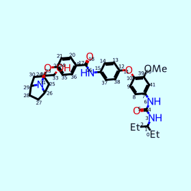 CCC(CC)NC(=O)Nc1ccc(Oc2ccc(NC(=O)c3ccc(OC4CC5CCC(C4)N5CCO)cc3)cc2)c(OC)c1